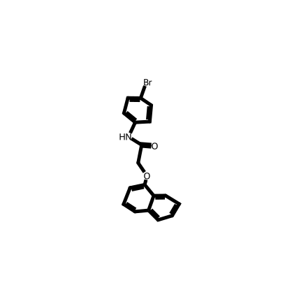 O=C(COc1cccc2ccccc12)Nc1ccc(Br)cc1